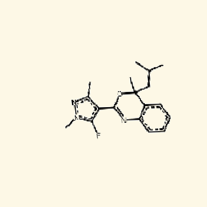 Cc1nn(C)c(F)c1C1=Nc2ccccc2C(C)(CC(C)C)O1